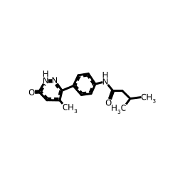 Cc1cc(=O)[nH]nc1-c1ccc(NC(=O)CC(C)C)cc1